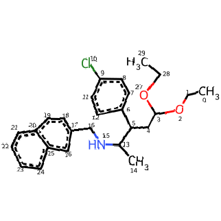 CCOC(CC(c1ccc(Cl)cc1)C(C)NCc1ccc2ccccc2c1)OCC